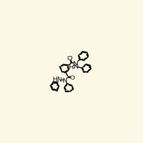 O=C(c1cccc(C(=O)N(Nc2ccccc2)c2ccccc2)c1)N(Nc1ccccc1)c1ccccc1